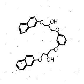 OC(COc1cccc(OCC(O)COc2ccc3ccccc3c2)c1)COc1ccc2ccccc2c1